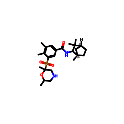 Cc1cc(C(=O)NC2C(C)(C)[C@@H]3CC[C@@]2(C)C3)cc(S(=O)(=O)C2(C)CNCC(C)O2)c1C